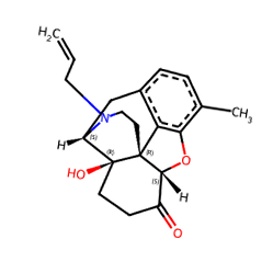 C=CCN1CC[C@@]23c4c5ccc(C)c4O[C@@H]2C(=O)CC[C@]3(O)[C@@H]1C5